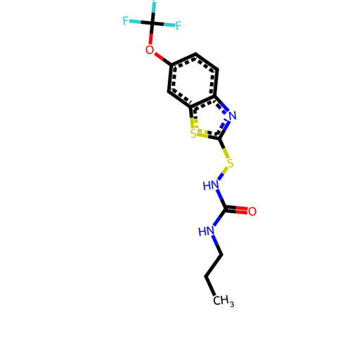 CCCNC(=O)NSc1nc2ccc(OC(F)(F)F)cc2s1